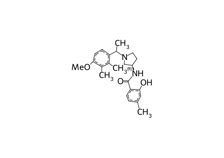 COc1ccc(C(C)N2CC[C@@H](NC(=O)c3ccc(C)cc3O)C2)c(C)c1C